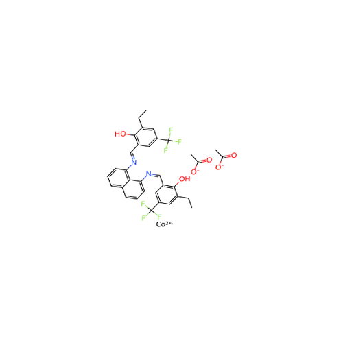 CC(=O)[O-].CC(=O)[O-].CCc1cc(C(F)(F)F)cc(C=Nc2cccc3cccc(N=Cc4cc(C(F)(F)F)cc(CC)c4O)c23)c1O.[Co+2]